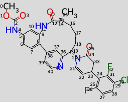 COC(=O)Nc1ccc2c(c1)NC(=O)[C@H](C)CCC[C@H](N1C=CC(c3c(F)ccc(Cl)c3F)CC1=O)c1cc-2ccn1